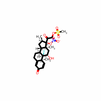 C[C@@H]1C[C@H]2[C@@H]3CCC4=CC(=O)C=C[C@]4(C)[C@@]3(F)[C@@H](O)C[C@]2(C)[C@@]1(O[N+](=O)[O-])C(=O)COS(C)(=O)=O